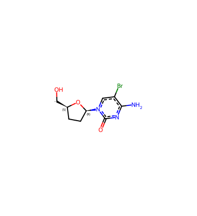 Nc1nc(=O)n([C@H]2CC[C@@H]([CH]O)O2)cc1Br